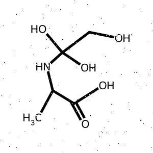 CC(NC(O)(O)CO)C(=O)O